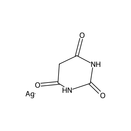 O=C1CC(=O)NC(=O)N1.[Ag]